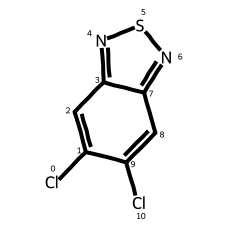 Clc1cc2nsnc2cc1Cl